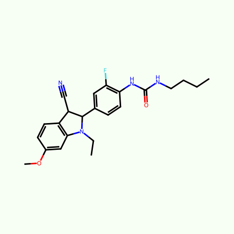 CCCCNC(=O)Nc1ccc(C2C(C#N)c3ccc(OC)cc3N2CC)cc1F